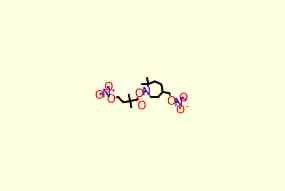 CC(C)(CCO[N+](=O)[O-])C(=O)ON1CCC(CO[N+](=O)[O-])CCC1(C)C